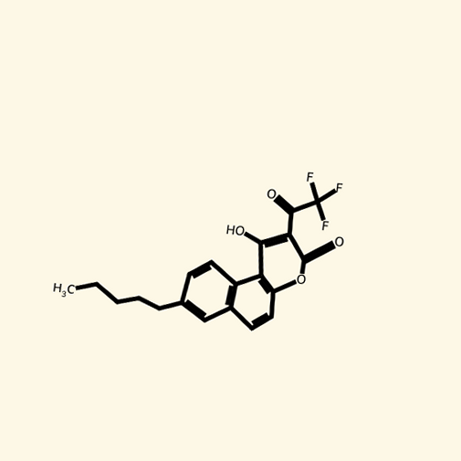 CCCCCc1ccc2c(ccc3oc(=O)c(C(=O)C(F)(F)F)c(O)c32)c1